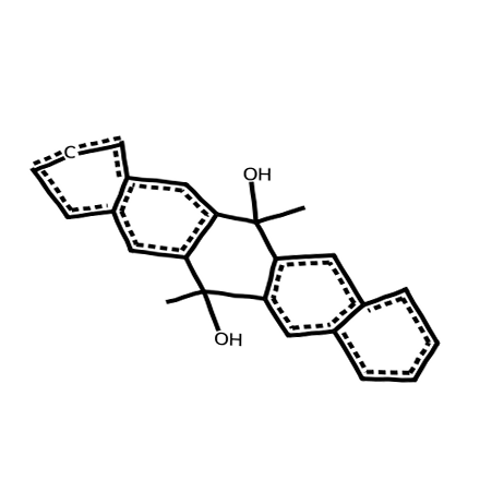 CC1(O)c2cc3ccccc3cc2C(C)(O)c2cc3ccccc3cc21